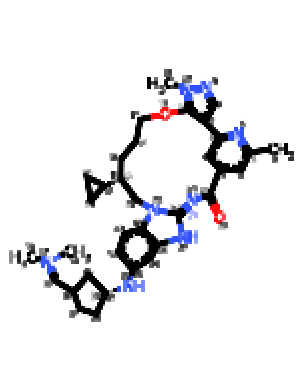 Cc1cc2cc(n1)-c1cnn(C)c1OCCC[C@@H](C1CC1)CN1/C(=N/C2=O)Nc2cc(N[C@@H]3CCC(C=[N+](C)C)C3)ccc21